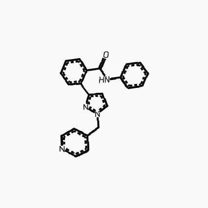 O=C(Nc1ccccc1)c1ccccc1-c1ccn(Cc2ccncc2)n1